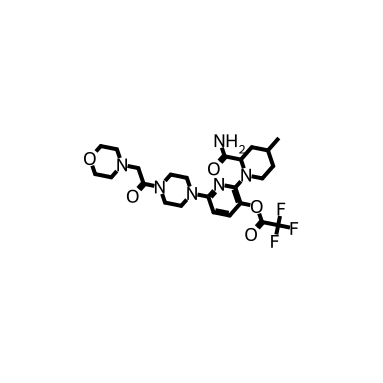 CC1CCN(c2nc(N3CCN(C(=O)CN4CCOCC4)CC3)ccc2OC(=O)C(F)(F)F)C(C(N)=O)C1